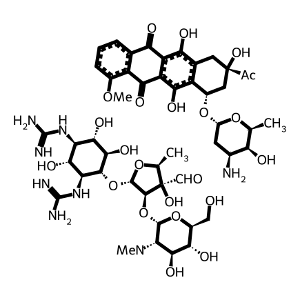 CN[C@@H]1[C@H](O[C@H]2[C@H](O[C@H]3[C@H](O)[C@@H](O)[C@H](NC(=N)N)[C@@H](O)[C@@H]3NC(=N)N)O[C@@H](C)[C@]2(O)C=O)O[C@@H](CO)[C@H](O)[C@H]1O.COc1cccc2c1C(=O)c1c(O)c3c(c(O)c1C2=O)C[C@@](O)(C(C)=O)C[C@@H]3O[C@H]1C[C@H](N)[C@H](O)[C@H](C)O1